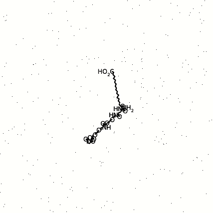 NC(=O)[C@H](CCC(=O)NCCOCCOCC(=O)NCCOCCOCC(=O)ON1C(=O)CCC1=O)NC(=O)CCCCCCCCCCCCCCCCCCC(=O)O